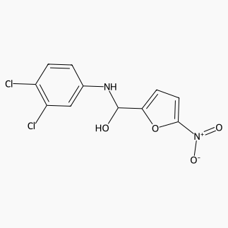 O=[N+]([O-])c1ccc(C(O)Nc2ccc(Cl)c(Cl)c2)o1